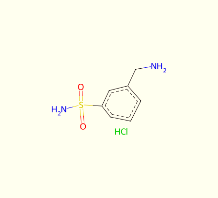 Cl.NCc1cccc(S(N)(=O)=O)c1